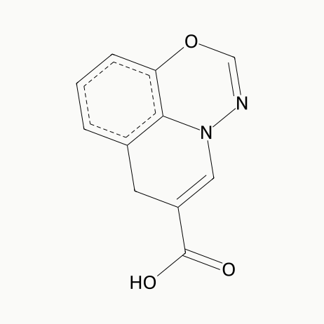 O=C(O)C1=CN2N=COc3cccc(c32)C1